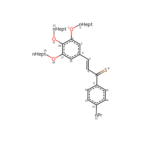 CCCCCCCOc1cc(C=CC(=S)c2ccc(CCC)cc2)cc(OCCCCCCC)c1OCCCCCCC